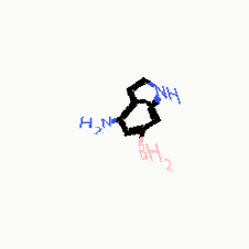 Bc1cc(N)c2cc[nH]c2c1